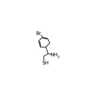 NC(CS)C1C=CC(Br)=CC1